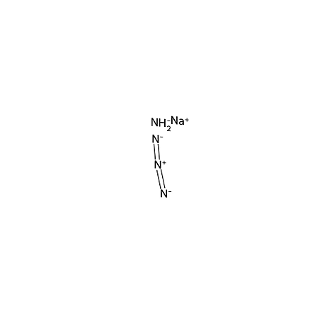 [N-]=[N+]=[N-].[NH2-].[Na+]